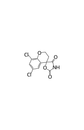 O=C1NC(=O)C2(CCOc3c(Cl)cc(Cl)cc32)O1